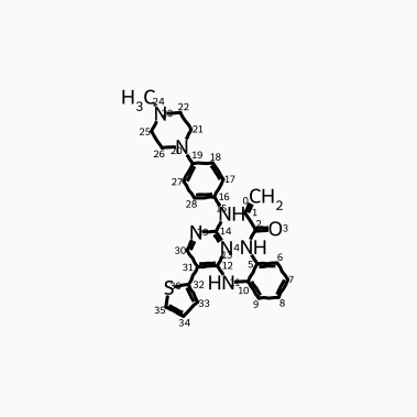 C=CC(=O)Nc1ccccc1Nc1nc(Nc2ccc(N3CCN(C)CC3)cc2)ncc1-c1cccs1